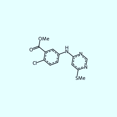 COC(=O)c1cc(Nc2cc(SC)ncn2)ccc1Cl